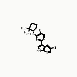 CC1(C)CCCC[C@H]1Nc1nc(-c2c[nH]c3ncc(Cl)cc23)ncc1F